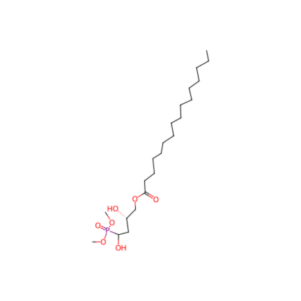 CCCCCCCCCCCCCCCC(=O)OC[C@@H](O)CC(O)P(=O)(OC)OC